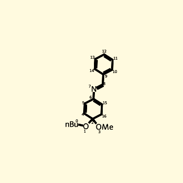 CCCCOC1(OC)C=CC(N=Cc2ccccc2)=CC1